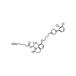 CCCCCCCCCCCCCCC(=O)OC(C)N1C(=O)CCc2ccc(OCCCCN3CCN(c4cccc(Cl)c4Cl)CC3)cc21